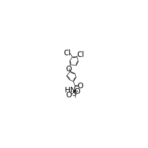 CS(=O)(=O)NC(=O)c1ccc(Oc2ccc(Cl)c(Cl)c2)cc1